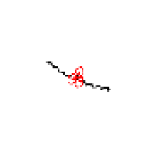 C=CCCCCCCOC(=O)OCCCCCCC=C